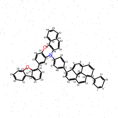 c1ccc(-c2ccc3ccc4c(-c5ccc(N6c7cc(-c8cccc9c8oc8ccccc89)ccc7Oc7c6ccc6ccccc76)cc5)ccc5ccc2c3c54)cc1